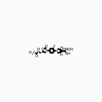 CC(=O)NC[C@H]1CN(c2ccc(N3C[C@@H]4C(C(=N)NO)[C@@H]4C3)c(F)c2)C(=O)O1